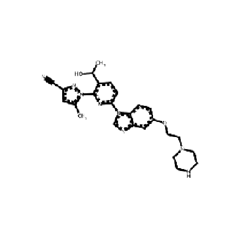 Cc1cc(C#N)nn1-c1nc(-n2cnc3cc(OCCN4CCNCC4)ccc32)ccc1C(C)O